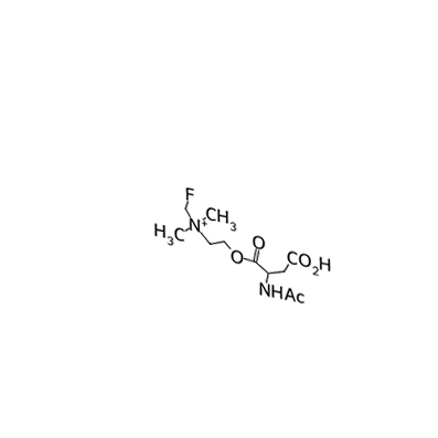 CC(=O)NC(CC(=O)O)C(=O)OCC[N+](C)(C)CF